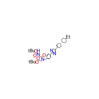 CC[C@H]1CC[C@H](C2CC=C(c3cnc(-c4ccc(CN(CC(=O)OC(C)(C)C)C(=O)CNC(=O)OC(C)(C)C)cc4)nc3)CC2)CC1